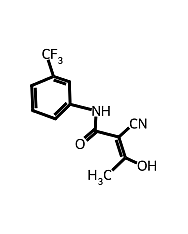 C/C(O)=C(/C#N)C(=O)Nc1cccc(C(F)(F)F)c1